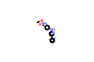 CCS(=O)(=O)NC[C@H]1CC[C@H](Nc2ccc(-c3ccccc3F)cn2)CC1